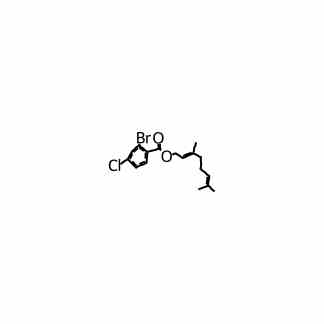 CC(C)=CCC/C(C)=C/COC(=O)c1ccc(Cl)cc1Br